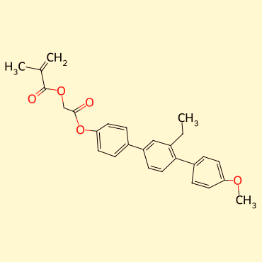 C=C(C)C(=O)OCC(=O)Oc1ccc(-c2ccc(-c3ccc(OC)cc3)c(CC)c2)cc1